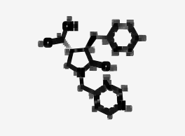 O=C(O)[C@H]1CN(Cc2ccncn2)C(=O)[C@@H]1Cc1ccccc1